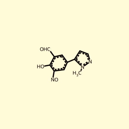 Cn1nccc1-c1cc(C=O)c(O)c(N=O)c1